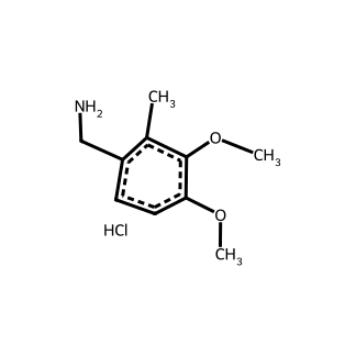 COc1ccc(CN)c(C)c1OC.Cl